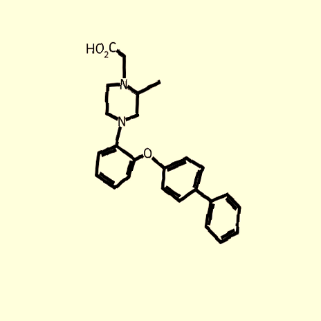 CC1CN(c2ccccc2Oc2ccc(-c3ccccc3)cc2)CCN1CC(=O)O